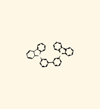 C1=CC2c3ccccc3N(c3cccc(-c4cccc(-n5c6ccccc6c6ccccc65)c4)c3)C2C=C1